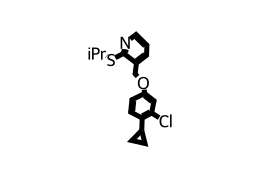 CC(C)Sc1ncccc1COc1ccc(C2CC2)c(Cl)c1